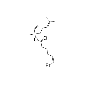 C=CC(C)(CCC=C(C)C)OC(=O)CCC/C=C\CC